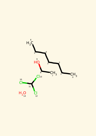 CCCCCCC.CCO.ClC(Cl)Cl.O